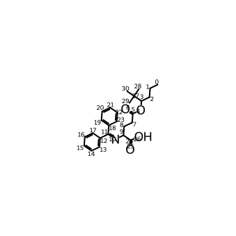 CCCC(OC(=O)CCC(N=C(c1ccccc1)c1ccccc1)C(=O)O)C(C)(C)C